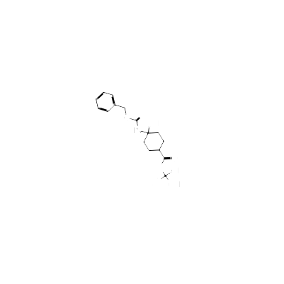 CC1(NC(=O)OCc2ccccc2)CCC(C(=O)OC(C)(C)C)CC1